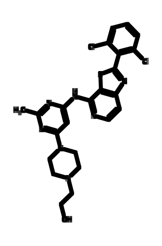 Cc1nc(Nc2nccc3nc(-c4c(Cl)cccc4Cl)sc23)cc(N2CCN(CCO)CC2)n1